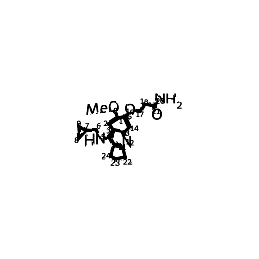 COc1cc2c(NCC3CC3)c3c(nc2cc1OCCC(N)=O)CCC3